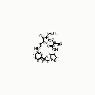 CCN1C(=O)C(CCNc2cccc(C(F)(F)CN3CCCC3)n2)SC1CC(C#N)C(=O)O